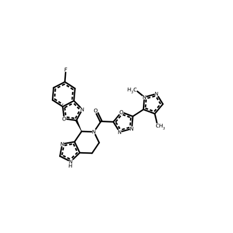 Cc1cnn(C)c1-c1nnc(C(=O)N2CCc3[nH]cnc3[C@H]2c2nc3cc(F)ccc3o2)o1